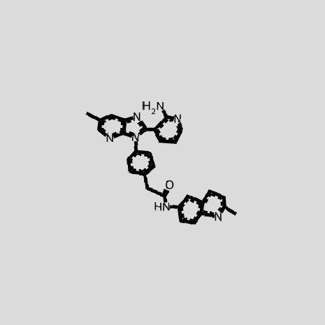 Cc1cnc2c(c1)nc(-c1cccnc1N)n2-c1ccc(CC(=O)Nc2ccc3nc(C)ccc3c2)cc1